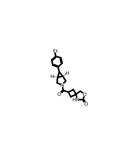 CCc1ccc(C2[C@H]3CN(C(=O)C4CC5(COC(=O)N5)C4)C[C@@H]23)cc1